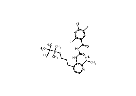 CC(C)c1nccc(CCCO[Si](C)(C)C(C)(C)C)c1NC(=O)NC(=O)c1cc(F)c(Cl)nc1Cl